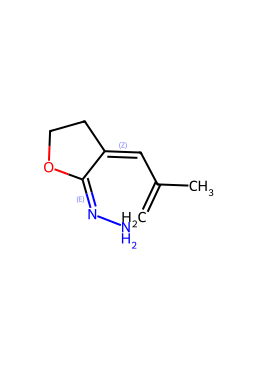 C=C(C)/C=C1/CCO/C1=N/N